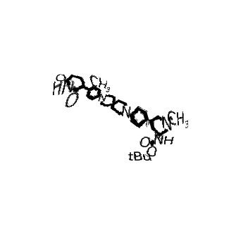 Cc1cc(N2CCC3(CCN(c4ccc([C@H]5C[C@@H](NC(=O)OC(C)(C)C)CN(C)C5)cc4)CC3)CC2)ccc1C1CCC(=O)NC1=O